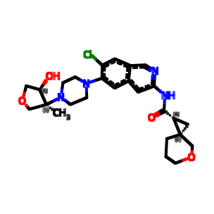 C[C@]1(N2CCN(c3cc4cc(NC(=O)[C@@H]5C[C@]56CCCOC6)ncc4cc3Cl)CC2)COC[C@H]1O